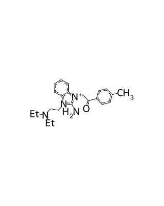 CCN(CC)CCn1c(N)[n+](CC(=O)c2ccc(C)cc2)c2ccccc21